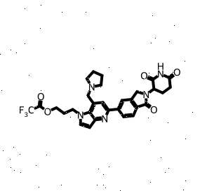 O=C1CCC(N2Cc3cc(-c4cc(CN5CCCC5)c5c(ccn5CCCOC(=O)C(F)(F)F)n4)ccc3C2=O)C(=O)N1